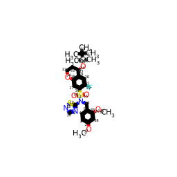 COc1ccc(CN(c2ncns2)S(=O)(=O)c2cc3c(cc2F)[C@H](O[Si](C)(C)C(C)(C)C)CCO3)c(OC)c1